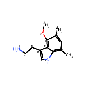 COc1c(C)cc(C)c2[nH]cc(CCN)c12